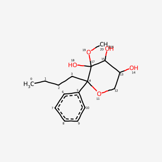 CCCCC1(c2ccccc2)OCC(O)C(O)C1(O)OC